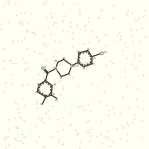 Cc1ccc(C(=O)N2CCN(c3ccc(Cl)cc3)CC2)cc1C